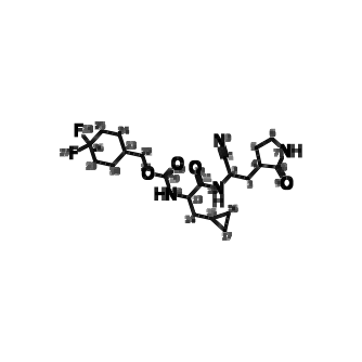 N#CC(CC1CCNC1=O)NC(=O)C(CC1CC1)NC(=O)OCC1CCC(F)(F)CC1